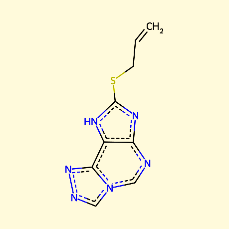 C=CCSc1nc2ncn3cnnc3c2[nH]1